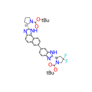 CC(C)(C)OC(=O)N1CC(F)(F)C[C@H]1c1nc2ccc(-c3ccc4c(ccc5nc([C@@H]6CCCN6C(=O)OC(C)(C)C)[nH]c54)c3)cc2[nH]1